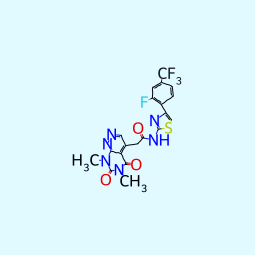 Cn1c(=O)c2c(CC(=O)Nc3nc(-c4ccc(C(F)(F)F)cc4F)cs3)cnnc2n(C)c1=O